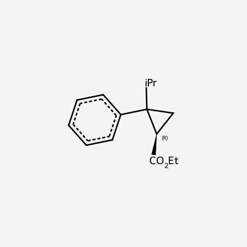 CCOC(=O)[C@@H]1CC1(c1ccccc1)C(C)C